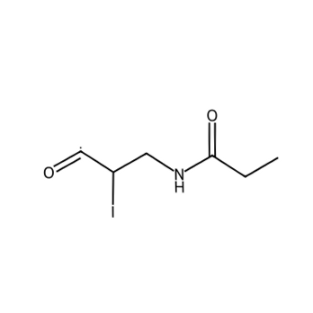 CCC(=O)NCC(I)[C]=O